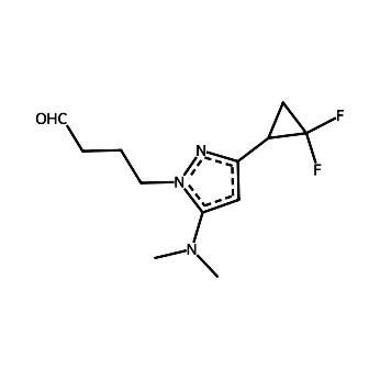 CN(C)c1cc(C2CC2(F)F)nn1CCCC=O